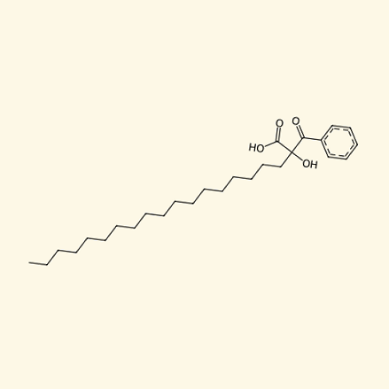 CCCCCCCCCCCCCCCCCCC(O)(C(=O)O)C(=O)c1ccccc1